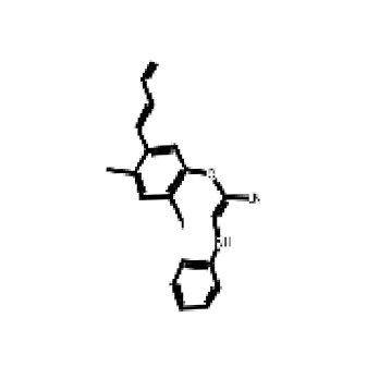 C=CC=Cc1cc(OC(C#N)=CNc2ccccc2)c(I)cc1C